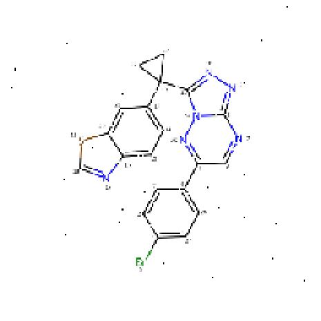 Brc1ccc(-c2cnc3nnc(C4(c5ccc6ncsc6c5)CC4)n3n2)cc1